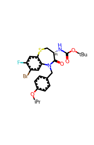 CC(C)Oc1ccc(CN2C(=O)[C@@H](NC(=O)OC(C)(C)C)CSc3cc(F)c(Br)cc32)cc1